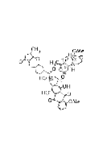 COc1cccc2c1C(=O)c1c(O)c3c(c(O)c1C2=O)C[C@@](O)(C(=O)C1CCC(CN2C(=O)CC(C)C2=O)CC1)C[C@@H]3O[C@H]1C[C@H]2[C@H](O[C@@H]3[C@@H](OC)OCCN32)[C@H](C)O1